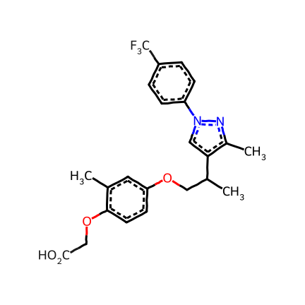 Cc1cc(OCC(C)c2cn(-c3ccc(C(F)(F)F)cc3)nc2C)ccc1OCC(=O)O